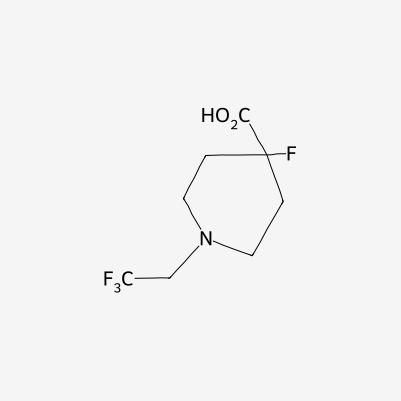 O=C(O)C1(F)CCN(CC(F)(F)F)CC1